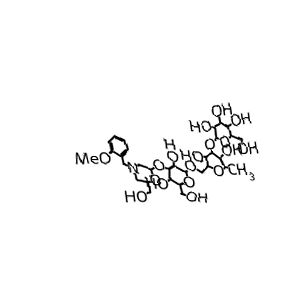 COc1ccccc1CN1CC(CO)OC(OC2C(O)C(CO)OC(OCC3OC(C)C(O)C(OC4OC(CO)C(O)C(O)C4O)C3O)C2O)C1